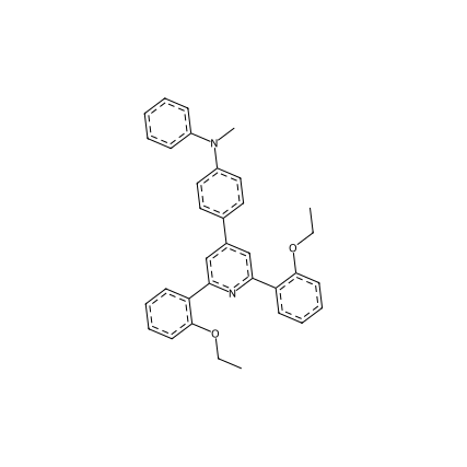 CCOc1ccccc1-c1cc(-c2ccc(N(C)c3ccccc3)cc2)cc(-c2ccccc2OCC)n1